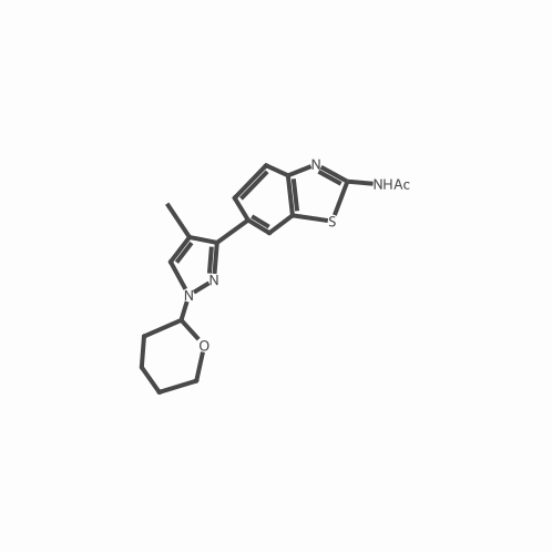 CC(=O)Nc1nc2ccc(-c3nn(C4CCCCO4)cc3C)cc2s1